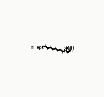 CCCCCCCCCCCCCCC[n+]1cc[nH]c1